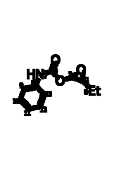 CCC1OC1OC(=O)Nc1ccccc1